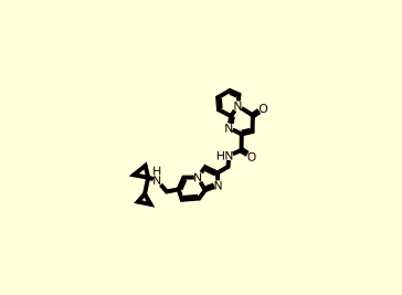 O=C(NCc1cn2cc(CNC3(C4CC4)CC3)ccc2n1)c1cc(=O)n2ccccc2n1